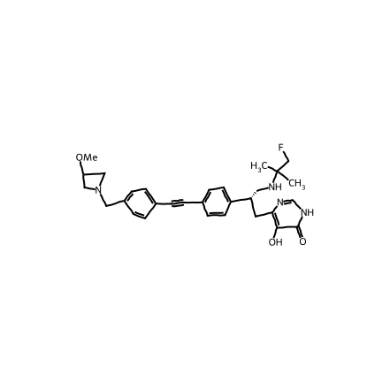 COC1CN(Cc2ccc(C#Cc3ccc([C@H](CNC(C)(C)CF)Cc4nc[nH]c(=O)c4O)cc3)cc2)C1